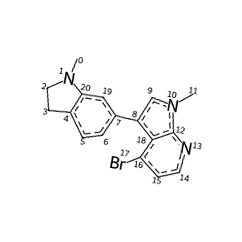 CN1CCc2ccc(-c3cn(C)c4nccc(Br)c34)cc21